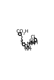 CCCN1C(=O)C(=NNC(=O)Nc2cccc(Cl)c2)c2cc(SCCCc3ccc(C(=O)O)cc3)ccc21